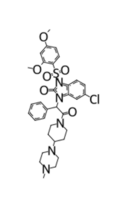 COc1ccc(S(=O)(=O)n2c(=O)n(C(C(=O)N3CCC(N4CCN(C)CC4)CC3)c3ccccc3)c3cc(Cl)ccc32)c(OC)c1